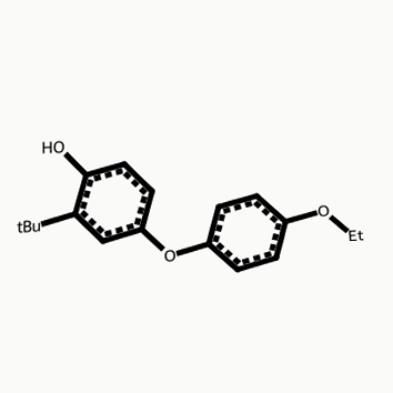 CCOc1ccc(Oc2ccc(O)c(C(C)(C)C)c2)cc1